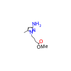 COC(=O)CCCn1nc(N)cc1C